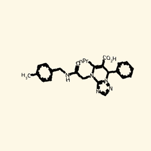 CCCC1=C(C(=O)O)C(c2ccccc2)n2ncnc2N1CC(=O)NCc1ccc(C)cc1